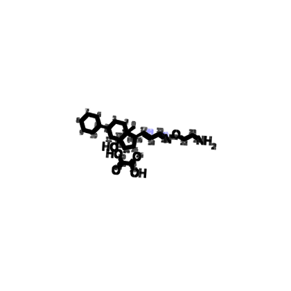 C[C@]12CC[C@H](C3CCCCC3)C[C@@]1(O)CC[C@@H]2/C=C/C=N/OCCN.O=C(O)C(=O)O